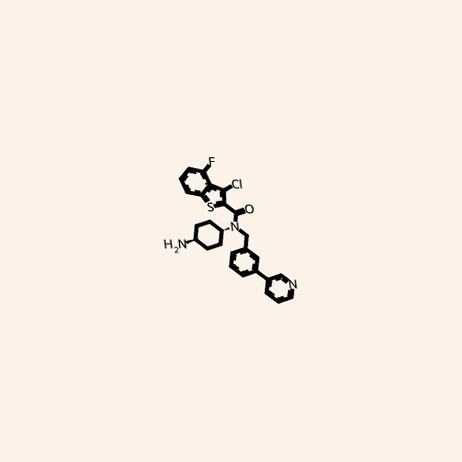 N[C@H]1CC[C@H](N(Cc2cccc(-c3cccnc3)c2)C(=O)c2sc3cccc(F)c3c2Cl)CC1